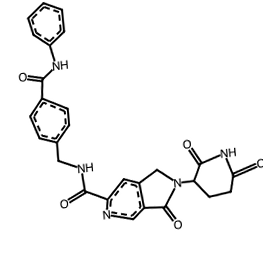 O=C1CCC(N2Cc3cc(C(=O)NCc4ccc(C(=O)Nc5ccccc5)cc4)ncc3C2=O)C(=O)N1